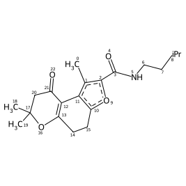 Cc1c(C(=O)NCCC(C)C)oc2c1C1=C(CC2)OC(C)(C)CC1=O